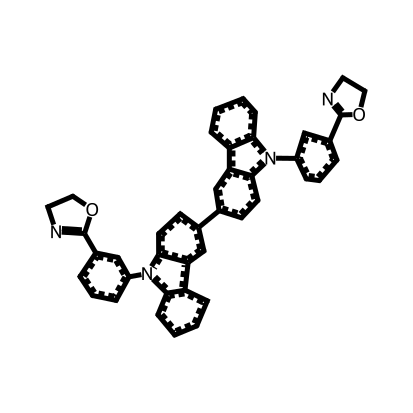 c1cc(C2=NCCO2)cc(-n2c3ccccc3c3cc(-c4ccc5c(c4)c4ccccc4n5-c4cccc(C5=NCCO5)c4)ccc32)c1